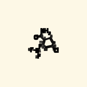 FB(F)F.NC(=O)c1ccc(Cl)cc1